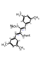 CCCCCCCCC(=N\c1cc(C)cc(C)c1)/C(CCCCC)=N/c1cc(C)cc(C)c1.[Ni]